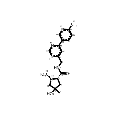 CC1(O)C[C@@H](C(=O)NCc2cc(-c3ccc(C(F)(F)F)nc3)ncn2)N(C(=O)O)C1